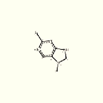 CN1CNc2nc(Cl)ncc21